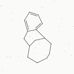 c1ccc2c(c1)CC1CCCCCC2C1